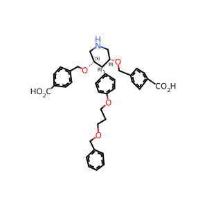 O=C(O)c1ccc(CO[C@H]2CNC[C@@H](OCc3ccc(C(=O)O)cc3)[C@H]2c2ccc(OCCCOCc3ccccc3)cc2)cc1